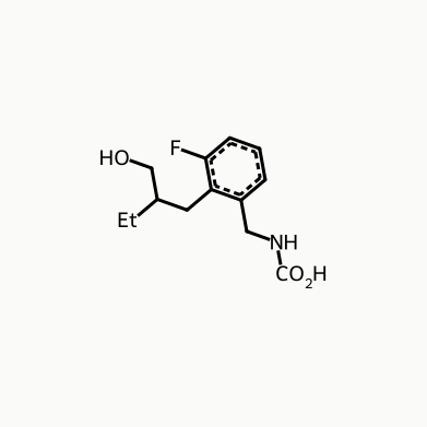 CCC(CO)Cc1c(F)cccc1CNC(=O)O